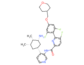 C[C@@H]1[C@H](N)C[C@H](c2ccncc2NC(=O)c2ccc(F)c(-c3c(F)cc(OCC4CCOCC4)cc3F)n2)C[C@@H]1C